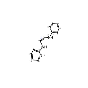 C(=C/Nc1ccccn1)/Nc1ccccn1